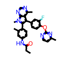 CCC(=O)Nc1ccc(-c2c(-c3ccc(Oc4nccc(C)n4)c(F)c3)c3c(C)ncnc3n2C)c(C)c1